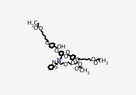 C=CC(=O)OCCCCCCOc1ccc(C(=O)Oc2ccc(OC(O)c3ccc(OCCCCCCOC(=O)C=C)cc3)cc2/C=N/N(CCOCCOCCOC(=O)C=C)c2nc3ccccc3s2)cc1